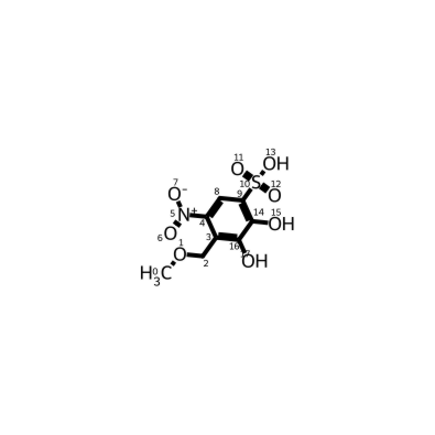 COCc1c([N+](=O)[O-])cc(S(=O)(=O)O)c(O)c1O